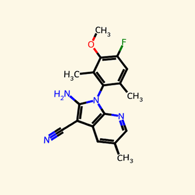 COc1c(F)cc(C)c(-n2c(N)c(C#N)c3cc(C)cnc32)c1C